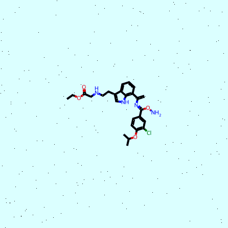 C=C(/N=C(\ON)c1ccc(OC(C)C)c(Cl)c1)c1cccc2c(CCNCC(=O)OCC)c[nH]c12